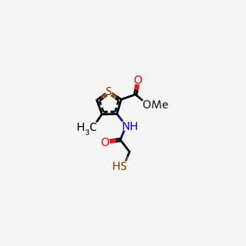 COC(=O)c1scc(C)c1NC(=O)CS